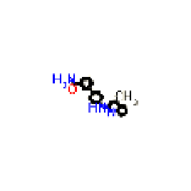 Cc1cc(NC2CCC(c3cccc(C(N)=O)c3)CC2)nc2c1CCC2